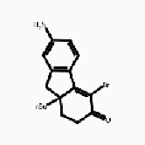 CCCCC12CCC(=O)C(Br)=C1c1ccc(N)cc1C2